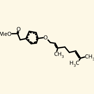 COC(=O)Cc1ccc(OC/C=C(\C)CCC=C(C)C)cc1